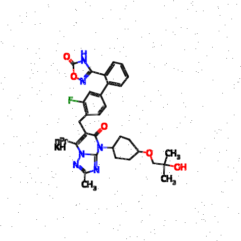 CCCc1c(Cc2ccc(-c3ccccc3-c3noc(=O)[nH]3)cc2F)c(=O)n(C2CCC(OCC(C)(C)O)CC2)c2nc(C)nn12.[KH]